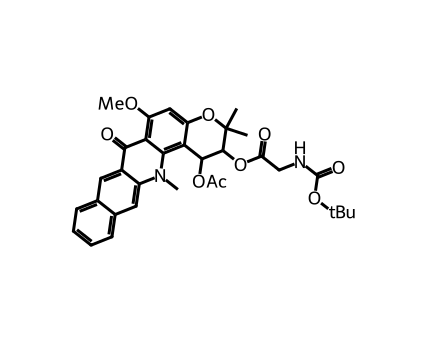 COc1cc2c(c3c1c(=O)c1cc4ccccc4cc1n3C)C(OC(C)=O)C(OC(=O)CNC(=O)OC(C)(C)C)C(C)(C)O2